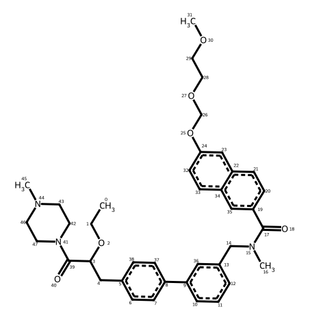 CCOC(Cc1ccc(-c2cccc(CN(C)C(=O)c3ccc4cc(OCOCCOC)ccc4c3)c2)cc1)C(=O)N1CCN(C)CC1